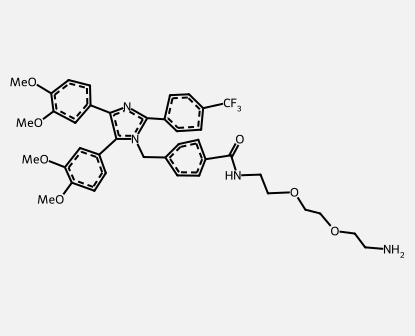 COc1ccc(-c2nc(-c3ccc(C(F)(F)F)cc3)n(Cc3ccc(C(=O)NCCOCCOCCN)cc3)c2-c2ccc(OC)c(OC)c2)cc1OC